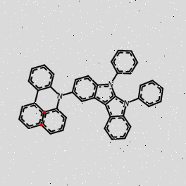 c1ccc(-c2ccccc2N(c2ccccc2)c2ccc3c(c2)c2c4ccccc4n(-c4ccccc4)c2n3-c2ccccc2)cc1